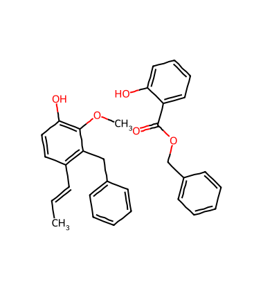 CC=Cc1ccc(O)c(OC)c1Cc1ccccc1.O=C(OCc1ccccc1)c1ccccc1O